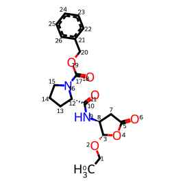 CCO[C@H]1OC(=O)C[C@@H]1NC(=O)[C@@H]1CCCN1C(=O)OCc1ccccc1